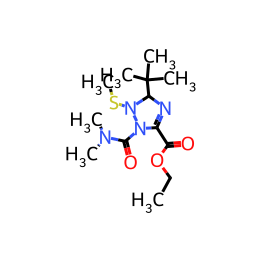 CCOC(=O)C1=NC(C(C)(C)C)N(SC)N1C(=O)N(C)C